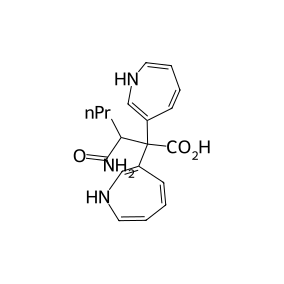 CCCC(C(N)=O)C(C(=O)O)(C1=CNC=CC=C1)C1=CNC=CC=C1